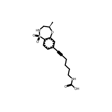 C[C@@H]1CNS(=O)(=O)c2ccc(C#CCCCCNC(=O)O)cc2O1